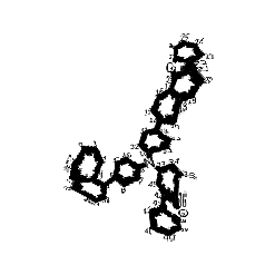 c1ccc2c(-c3ccc(N(c4ccc(-c5ccc6c(ccc7c8ccccc8oc67)c5)cc4)c4ccc5oc6ccccc6c5c4)cc3)cccc2c1